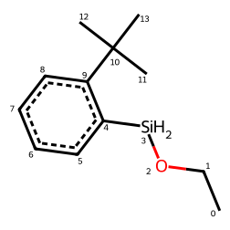 CCO[SiH2]c1ccccc1C(C)(C)C